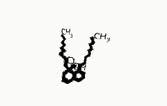 CCCCCCCCCCc1cccc2c1C(CCCCCCCCCC)(C(=O)O)CC=C2